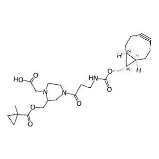 CC1(C(=O)OCC2CN(C(=O)CCNC(=O)OC[C@H]3[C@@H]4CCC#CCC[C@@H]43)CCN2CC(=O)O)CC1